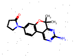 CC1(C)Oc2cc(N3CCCC3=O)ccc2-c2cnc(N)nc21